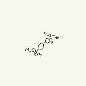 CN(C)[C@H]1CC[C@@H](c2cc(F)c3c(c2)C(=O)OC32CCNCC2)CC1